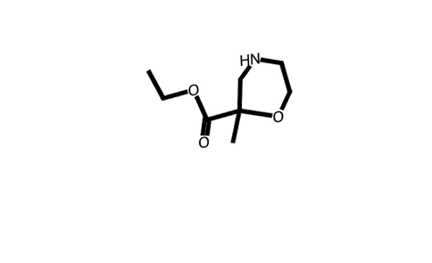 CCOC(=O)C1(C)CNCCO1